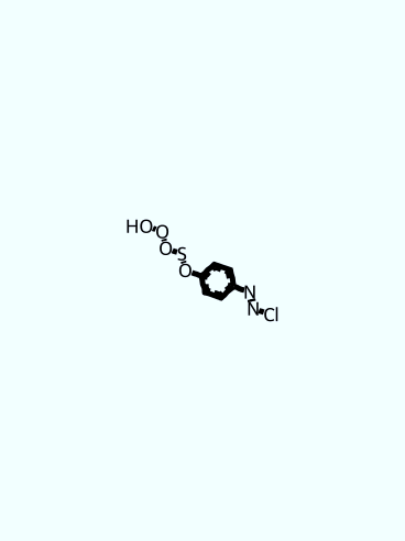 OOOSOc1ccc(/N=N/Cl)cc1